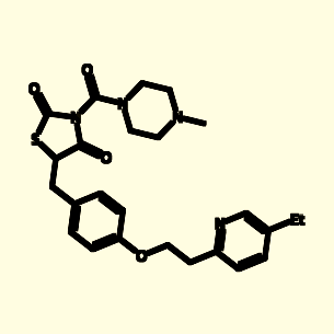 CCc1ccc(CCOc2ccc(CC3SC(=O)N(C(=O)N4CCN(C)CC4)C3=O)cc2)nc1